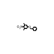 Cc1cc(OCc2ccccc2)cc(C)c1[N+](=O)[O-]